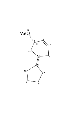 CO[C@@H]1C=CCN(C2CCCC2)C1